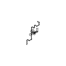 CC/C=C\C/C=C\C/C=C\C/C=C\C/C=C\C/C=C\CCC(=O)OC(COC(=O)CCCC/C=C\C/C=C\C/C=C\CCCCC)COP(=O)(O)OCCNC